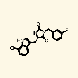 O=C1N[C@H](Cc2c[nH]c3c(Cl)cccc23)C(=O)N1Cc1cccc(F)c1